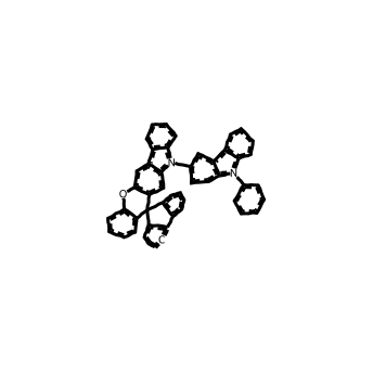 c1ccc(-n2c3ccccc3c3cc(-n4c5ccccc5c5cc6c(cc54)C4(c5ccccc5O6)c5ccccc5-c5ccccc54)ccc32)cc1